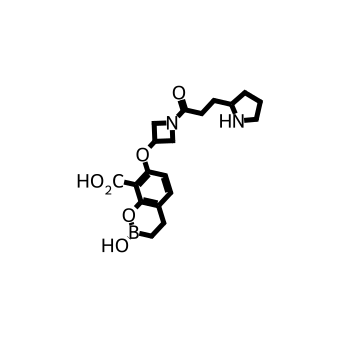 O=C(O)c1c(OC2CN(C(=O)CCC3CCCN3)C2)ccc2c1OB(O)CC2